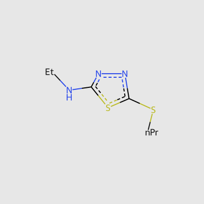 CCCSc1nnc(NCC)s1